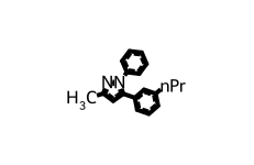 CCCc1cccc(-c2cc(C)nn2-c2ccccc2)c1